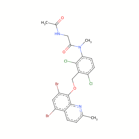 CC(=O)NCC(=O)N(C)c1ccc(Cl)c(COc2c(Br)cc(Br)c3ccc(C)nc23)c1Cl